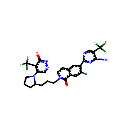 Nc1nc(-c2cc3ccn(CCCC4CCCN4c4cn[nH]c(=O)c4C(F)(F)F)c(=O)c3cc2F)ncc1C(F)(F)F